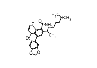 CCC1C=CNc2c(C(N)=O)c(C(C)CCCCN(C)C)cc(-c3ccc4c(c3)OCO4)c21